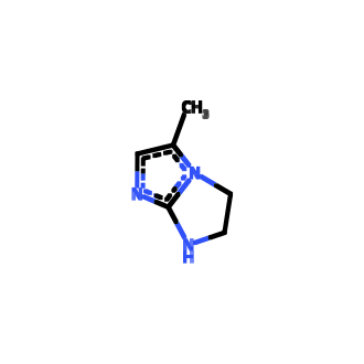 Cc1cnc2n1CCN2